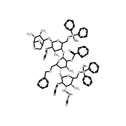 C[C@@H]1C(N=[N+]=[N-])[C@@H](OC2C3COC(O3)[C@@H](C)[C@H]2C)OC(CO[Si](c2ccccc2)(c2ccccc2)C(C)(C)C)[C@H]1O[C@@H]1OC(COCc2ccccc2)[C@@H](O[C@H]2OC(CO[Si](c3ccccc3)(c3ccccc3)C(C)(C)C)[C@@H](C)[C@H](PBB=O)C2N=[N+]=[N-])[C@H](C)C1OC(=O)c1ccccc1